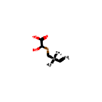 C=C[Si](C)(C)CSC(O)C(=O)O